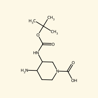 CC(C)(C)OC(=O)NC1CN(C(=O)O)CCC1N